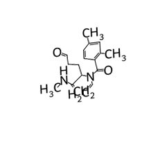 C=CN(C(=O)c1ccc(C)cc1C)C(CCC=O)C(=C)NC